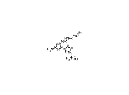 CCOCCNC=Nc1sc(N)nc1-c1ccc(CN)o1.Cl.Cl